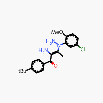 COc1ccc(Cl)cc1N(N)/C(C)=C(\N)C(=O)c1ccc(C(C)(C)C)cc1